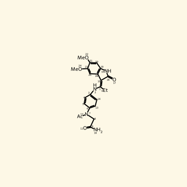 CCC(Nc1ccc(N(CC(N)=O)C(C)=O)cc1)=C1C(=O)Nc2cc(OC)c(OC)cc21